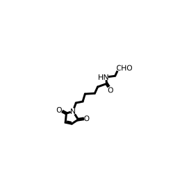 O=CCNC(=O)CCCCCN1C(=O)C=CC1=O